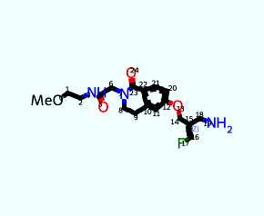 COCCNC(=O)CN1CCc2cc(OC/C(=C\F)CN)ccc2C1=O